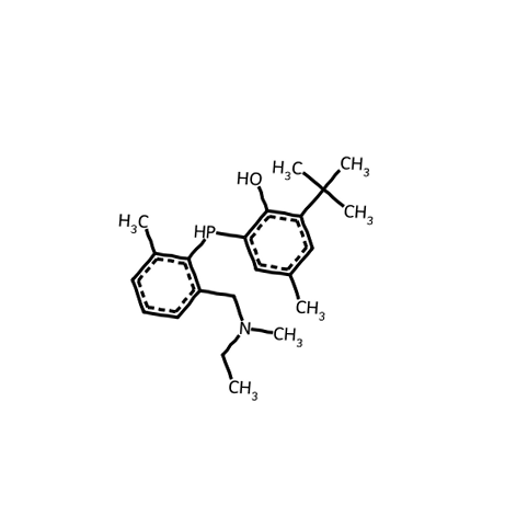 CCN(C)Cc1cccc(C)c1Pc1cc(C)cc(C(C)(C)C)c1O